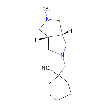 CC(C)(C)N1C[C@H]2CN(CC3(C#N)CCCCC3)C[C@H]2C1